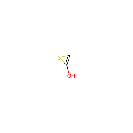 OC1=CS1